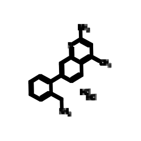 Cc1cc(N)nc2cc(-c3ccccc3CN)ccc12.Cl.Cl